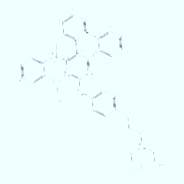 CCN(CC)CCOc1ccc(Nc2ncc(-c3ccccc3-c3ccccc3)c(Nc3ccccc3OC)n2)cc1